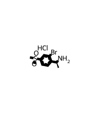 C[C@H](N)c1ccc(S(C)(=O)=O)cc1Br.Cl